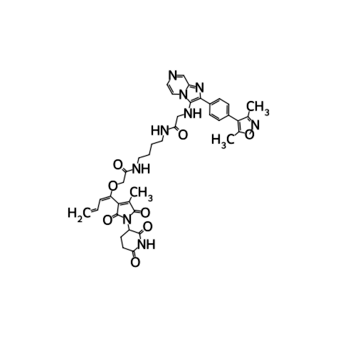 C=C/C=C(/OCC(=O)NCCCCNC(=O)CNc1c(-c2ccc(-c3c(C)noc3C)cc2)nc2cnccn12)C1=C(C)C(=O)N(C2CCC(=O)NC2=O)C1=O